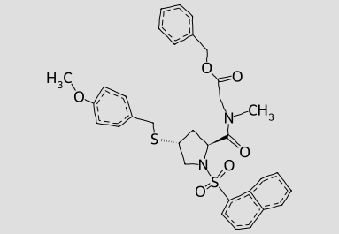 COc1ccc(CS[C@@H]2C[C@@H](C(=O)N(C)CC(=O)OCc3ccccc3)N(S(=O)(=O)c3cccc4ccccc34)C2)cc1